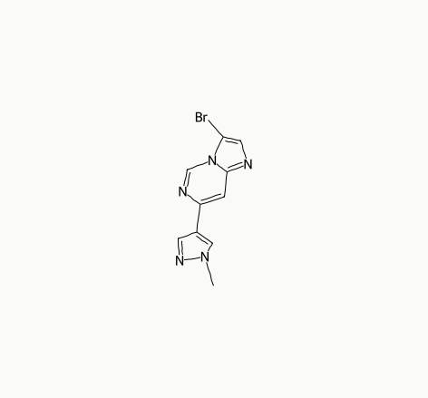 Cn1cc(-c2cc3ncc(Br)n3cn2)cn1